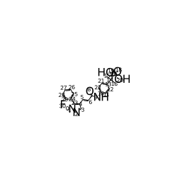 Cn1ncc(C=CC(=O)Nc2ccc(C(C)(C)P(=O)(O)O)cc2)c1-c1ccccc1F